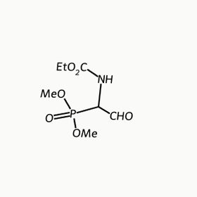 CCOC(=O)NC(C=O)P(=O)(OC)OC